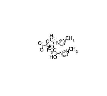 CC(O)[n+]1ccn(C)c1.CC(O)[n+]1ccn(C)c1.O=C([O-])C(=O)[O-]